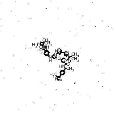 Cc1ncsc1-c1ccc([C@H](C)NC(=O)[C@@H]2C[C@@H](O)CN2C(=O)C(C(C)C)n2cc(-c3ccnc(N4CC[C@@H](Nc5ccc(C(=O)NC6C(C)(C)CC6(C)C)cc5)C4)c3)cn2)cc1